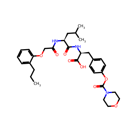 CCCc1ccccc1OCC(=O)N[C@@H](CC(C)C)C(=O)N[C@@H](Cc1ccc(OC(=O)N2CCOCC2)cc1)C(=O)O